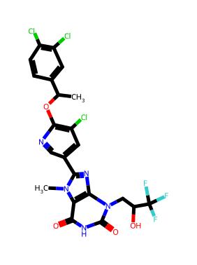 CC(Oc1ncc(-c2nc3c(c(=O)[nH]c(=O)n3CC(O)C(F)(F)F)n2C)cc1Cl)c1ccc(Cl)c(Cl)c1